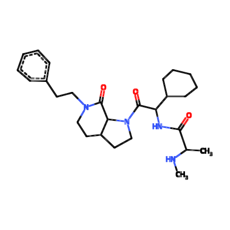 CNC(C)C(=O)NC(C(=O)N1CCC2CCN(CCc3ccccc3)C(=O)C21)C1CCCCC1